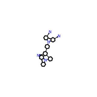 N#Cc1cc(-c2ccc(-n3c4ccc(C#N)cc4c4c(C#N)cccc43)cc2)cc(-c2ccccc2-n2c3ccccc3c3ccccc32)c1